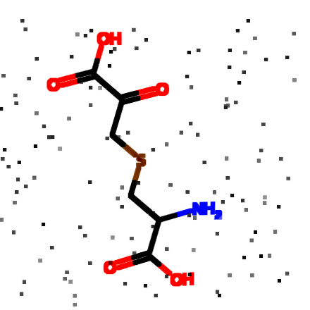 NC(CSCC(=O)C(=O)O)C(=O)O